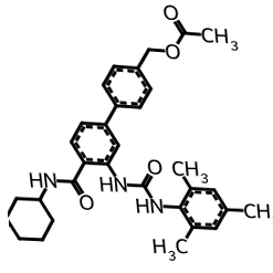 CC(=O)OCc1ccc(-c2ccc(C(=O)NC3CCCCC3)c(NC(=O)Nc3c(C)cc(C)cc3C)c2)cc1